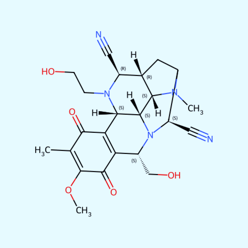 COC1=C(C)C(=O)C2=C(C1=O)[C@@H](CO)N1[C@H]3[C@@H]4[C@@H](CC([C@H]1C#N)N4C)[C@H](C#N)N(CCO)[C@@H]23